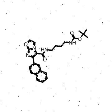 CC(C)(C)OC(=O)NCCCCNC(=O)c1c(-c2ccc3ccccc3c2)nc2occn12